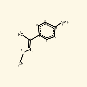 CSc1ccc(C(C#N)=NOC#N)cc1